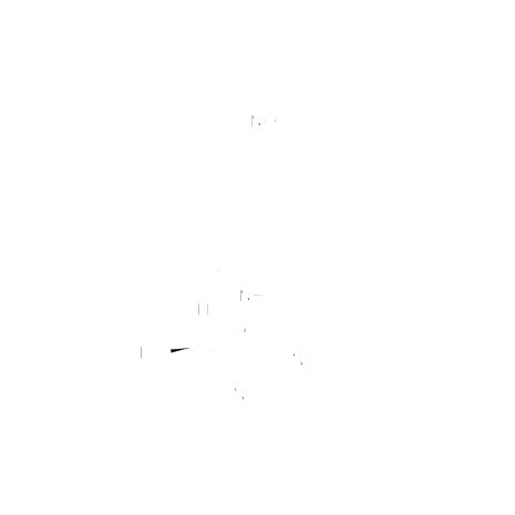 O=C(N[C@@H]1C(N2CCCCC2)=NO[C@@]1(O)C(F)(F)F)c1ccc([N+](=O)[O-])cc1